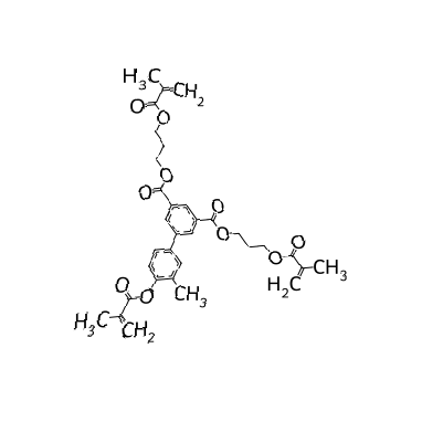 C=C(C)C(=O)OCCCOC(=O)c1cc(C(=O)OCCCOC(=O)C(=C)C)cc(-c2ccc(OC(=O)C(=C)C)c(C)c2)c1